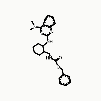 CN(C)c1nc(NC2CCCCC2CNC(=O)OCc2ccccc2)nc2ccccc12